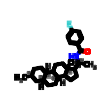 C[C@H]1CC[C@@H]2C3CC[C@@]4(C)C(CCC4[C@H](C)NC(=O)c4ccc(F)cc4)[C@@H]3CC[C@@H]2C1